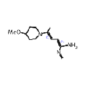 C=N/C(N)=C\C=C(/C)N1CCC(OC)CC1